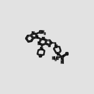 Cc1nc2ccccc2n1-c1nc(N2CCOCC2)c2sc(CN3CCN(C4(C)NC4=O)CC3)cc2n1